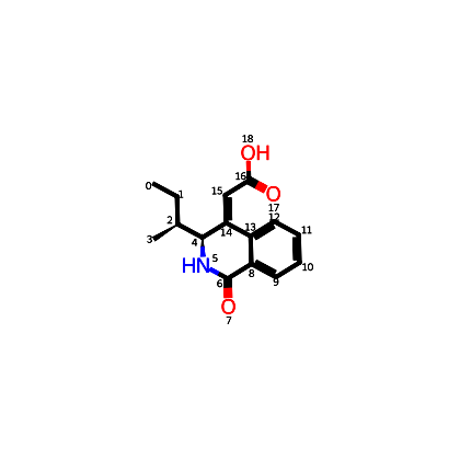 CC[C@H](C)[C@@H]1NC(=O)c2ccccc2C1=CC(=O)O